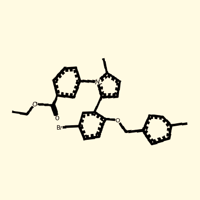 CCOC(=O)c1cccc(-n2c(C)ccc2-c2cc(Br)ccc2OCc2ccc(C)cc2)c1